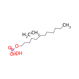 C=C.CCCCCCCCCCCCOP(=O)(O)O